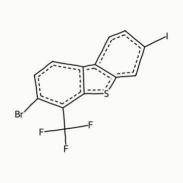 FC(F)(F)c1c(Br)ccc2c1sc1cc(I)ccc12